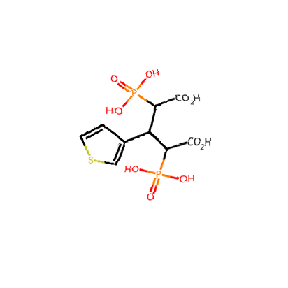 O=C(O)C(C(c1ccsc1)C(C(=O)O)P(=O)(O)O)P(=O)(O)O